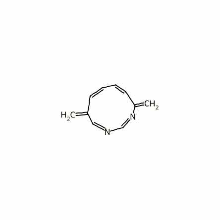 C=c1ccccc(=C)ncnc1